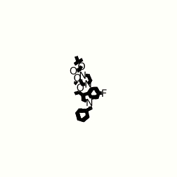 CC(OC=O)c1cn(Cc2ccccc2)c2cc(F)cc(N3CCN(C(=O)OC(C)(C)C)CC3)c12